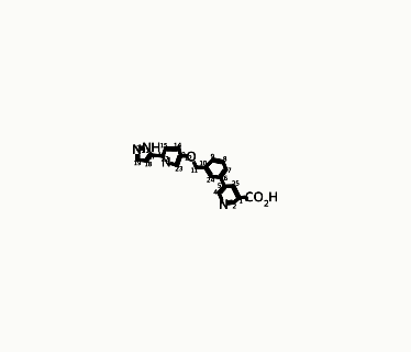 O=C(O)c1cncc(-c2cccc(COc3ccc(-c4ccn[nH]4)nc3)c2)c1